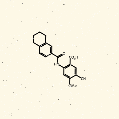 COc1cc(NC(=O)c2ccc3c(c2)CCCC3)c(C(=O)O)cc1C#N